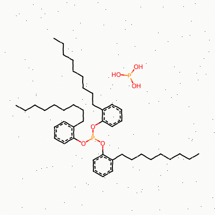 CCCCCCCCCc1ccccc1OP(Oc1ccccc1CCCCCCCCC)Oc1ccccc1CCCCCCCCC.OP(O)O